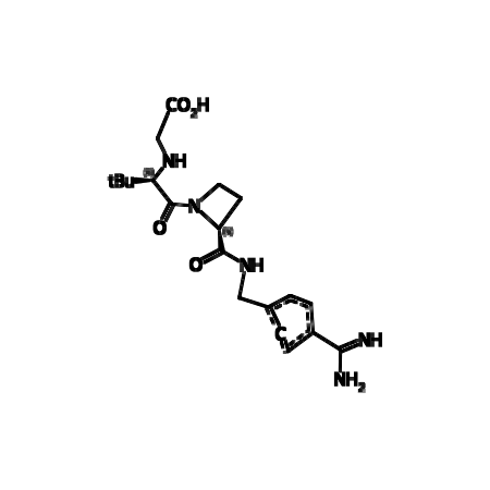 CC(C)(C)[C@@H](NCC(=O)O)C(=O)N1CC[C@H]1C(=O)NCc1ccc(C(=N)N)cc1